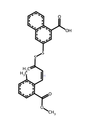 C=C(/C=C\c1c(C)cccc1C(=O)OC)SSc1cc(C(=O)O)c2ccccc2c1